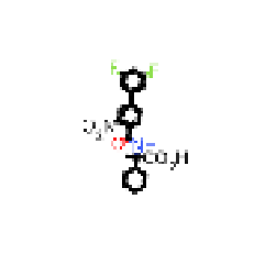 C[C@@](NC(=O)c1ccc(-c2cc(F)cc(F)c2)cc1[N+](=O)[O-])(C(=O)O)C1CCCCC1